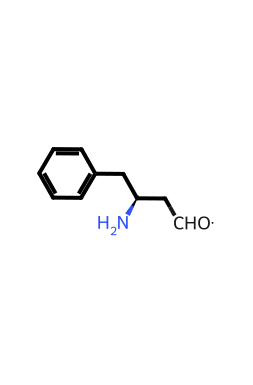 N[C@H](C[C]=O)Cc1ccccc1